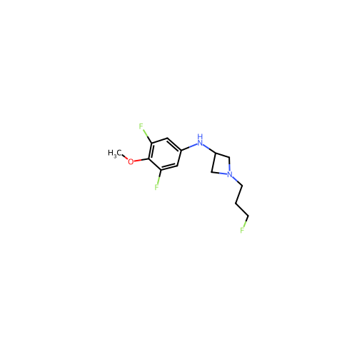 COc1c(F)cc(NC2CN(CCCF)C2)cc1F